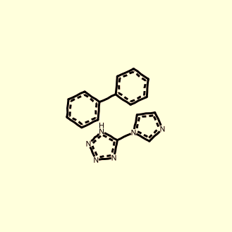 c1ccc(-c2ccccc2)cc1.c1cn(-c2nnn[nH]2)cn1